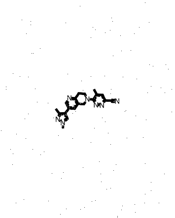 Cc1cc(C#N)nnc1N1CCc2ncc(-c3cn(C)nc3C)cc2C1